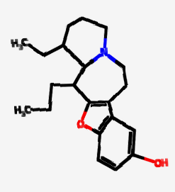 CCCC1c2oc3ccc(O)cc3c2CCN2CCCC(CC)C12